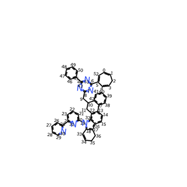 C1=CCC=CC(c2nc(CC3Cc4c(ccc5c6c(n(-c7cccc(-c8ccccn8)n7)c45)C=CCC6)-c4ccccc43)nc(-c3ccccc3)n2)=C1